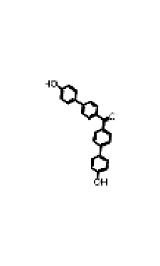 O=C(c1ccc(-c2ccc(O)cc2)cc1)c1ccc(-c2ccc(O)cc2)cc1